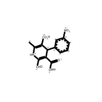 COC(=O)C1=C(C=O)NC(C)=C(C(=O)O)C1c1cccc([N+](=O)[O-])c1